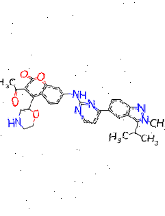 CC(=O)c1c(C2CNCCO2)c2ccc(Nc3nccc(-c4ccc5nn(C)c(C(C)C)c5c4)n3)cc2oc1=O